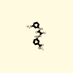 CC(=O)/C(=N/Nc1cccc(C(N)=O)c1)C(=O)Nc1cccc(N)c1